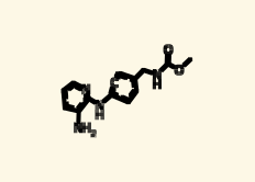 COC(=O)NCc1ccc(Nc2ncccc2N)cc1